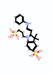 CC1(C)C(C=CNc2ccccc2)=[N+](CCCS(=O)(=O)O)c2ccc(S(=O)(=O)O)cc21